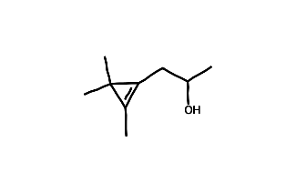 CC1=C(CC(C)O)C1(C)C